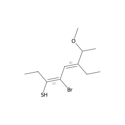 CC/C(S)=C(Br)\C=C(/CC)C(C)OC